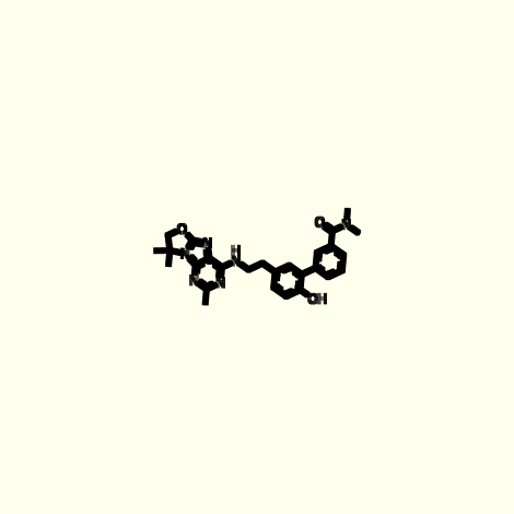 Cc1nc(NCCc2ccc(O)c(-c3cccc(C(=O)N(C)C)c3)c2)c2nc3n(c2n1)C(C)(C)CO3